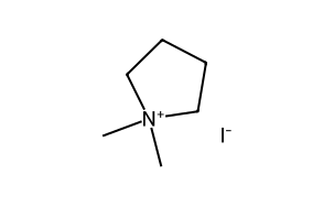 C[N+]1(C)CCCC1.[I-]